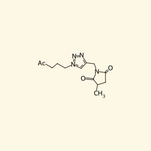 CC(=O)CCCn1cc(CN2C(=O)CC(C)C2=O)nn1